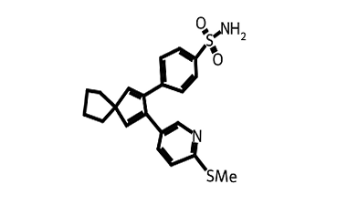 CSc1ccc(C2=CC3(C=C2c2ccc(S(N)(=O)=O)cc2)CCCC3)cn1